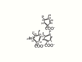 Cc1ccc(C(=O)[O-])cc1C.Cc1ccc(C(=O)[O-])cc1C.Cc1ccc(C(=O)[O-])cc1C.[In+3]